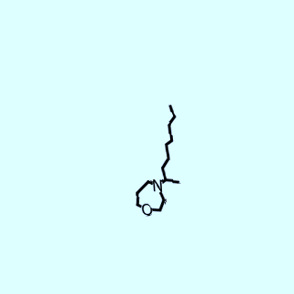 CCCCCCCC(C)N1CCCOCC1